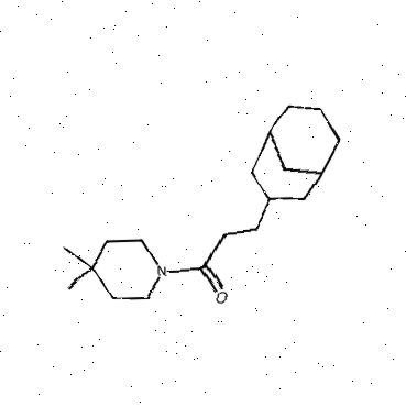 CC1(C)CCN(C(=O)CCC2CC3CCCC(C3)C2)CC1